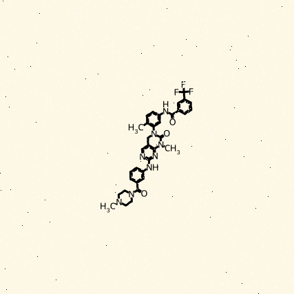 Cc1ccc(NC(=O)c2cccc(C(F)(F)F)c2)cc1N1Cc2cnc(Nc3cccc(C(=O)N4CCN(C)CC4)c3)nc2N(C)C1=O